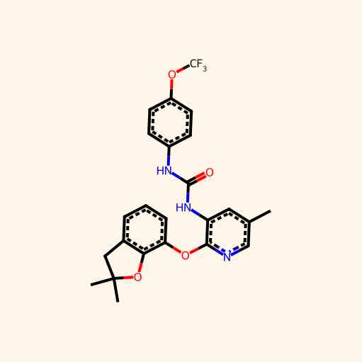 Cc1cnc(Oc2cccc3c2OC(C)(C)C3)c(NC(=O)Nc2ccc(OC(F)(F)F)cc2)c1